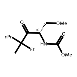 CCCC(C)(CC)C(=O)[C@H](COC)NC(=O)OC